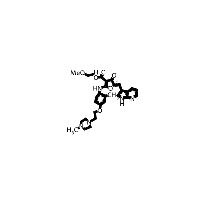 C=C(OCCOC)C1=C(Nc2ccc(OCCN3CCN(C)CC3)cc2C)O/C(=C\c2c[nH]c3ncccc23)C1=O